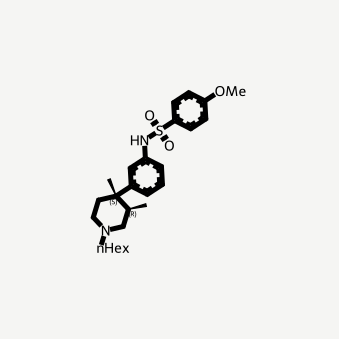 CCCCCCN1CC[C@](C)(c2cccc(NS(=O)(=O)c3ccc(OC)cc3)c2)[C@@H](C)C1